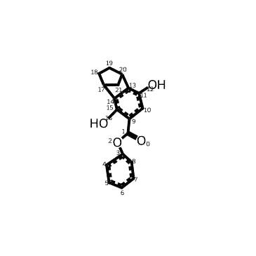 O=C(Oc1ccccc1)c1cc(O)c2c(c1O)C1CCC2C1